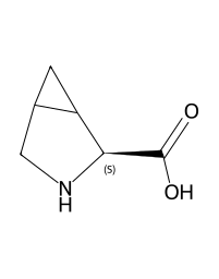 O=C(O)[C@H]1NCC2CC21